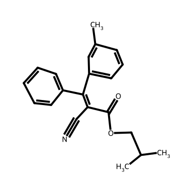 Cc1cccc(/C(=C(/C#N)C(=O)OCC(C)C)c2ccccc2)c1